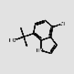 CC(C)(O)c1ccc(Cl)c2cc[nH]c12